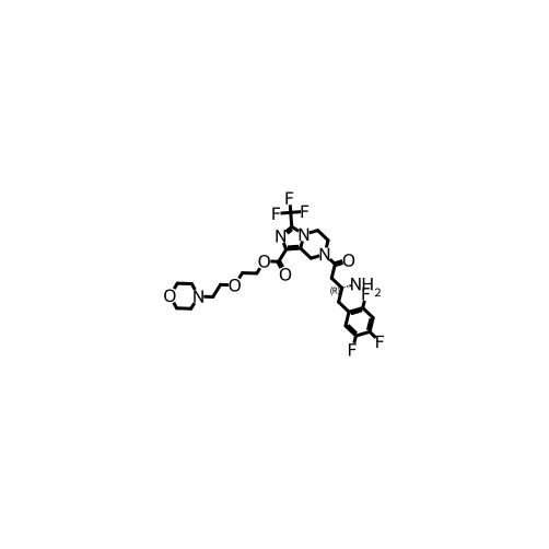 N[C@@H](CC(=O)N1CCn2c(C(F)(F)F)nc(C(=O)OCCOCCN3CCOCC3)c2C1)Cc1cc(F)c(F)cc1F